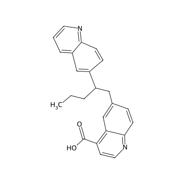 CCCC(Cc1ccc2nccc(C(=O)O)c2c1)c1ccc2ncccc2c1